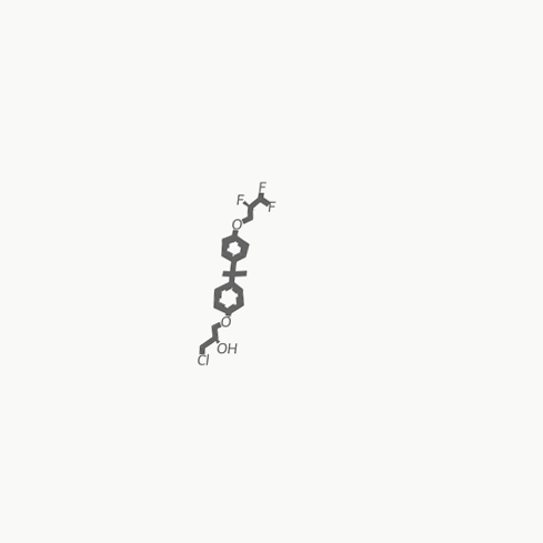 CC(C)(c1ccc(OC[C@@H](O)CCl)cc1)c1ccc(OC[C@@H](F)C(F)F)cc1